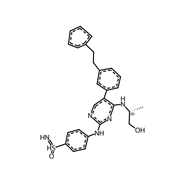 C[C@H](CO)Nc1nc(Nc2ccc([SH](=N)=O)cc2)ncc1-c1cccc(CCc2ccccc2)c1